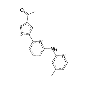 CC(=O)c1csc(-c2cccc(Nc3cc(C)ccn3)n2)c1